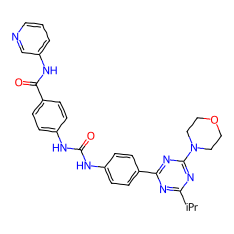 CC(C)c1nc(-c2ccc(NC(=O)Nc3ccc(C(=O)Nc4cccnc4)cc3)cc2)nc(N2CCOCC2)n1